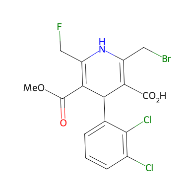 COC(=O)C1=C(CF)NC(CBr)=C(C(=O)O)C1c1cccc(Cl)c1Cl